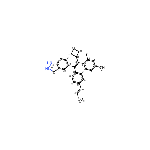 Cc1cc(C#N)ccc1/C(=C(\c1ccc(/C=C/C(=O)O)cc1)c1ccc2c(c1)CNN2)C1CCC1